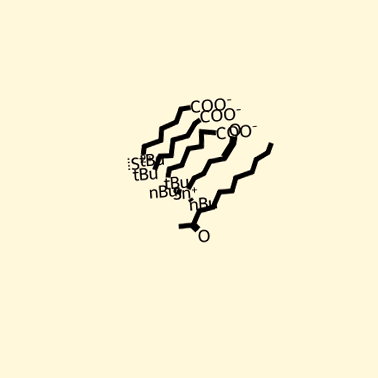 CC(C)(C)CCCCCC(=O)[O-].CC(C)(C)CCCCCC(=O)[O-].CC(C)(C)CCCCCC(=O)[O-].CCCCCCCCCC(C)=O.CCC[CH2][Sn+]([CH2]CCC)[CH2]CCC=C=O.[S+2]